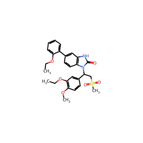 CCOc1cc(C(CS(C)(=O)=O)n2c(=O)[nH]c3cc(-c4ccccc4OCC)ccc32)ccc1OC